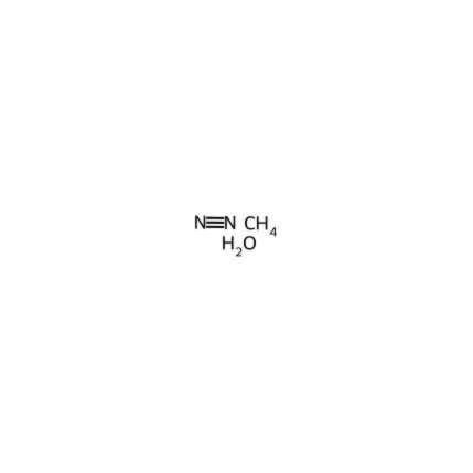 C.N#N.O